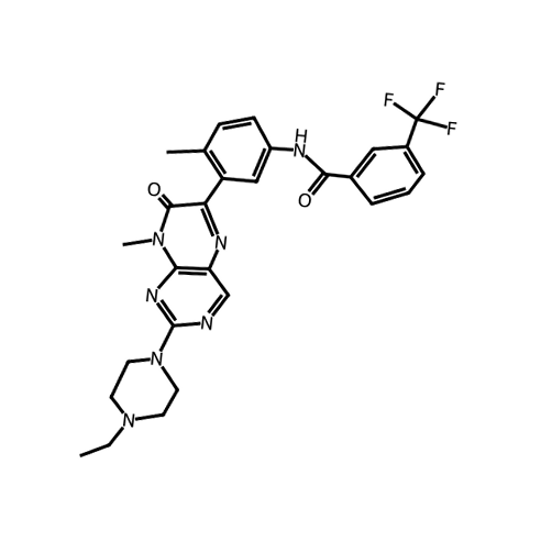 CCN1CCN(c2ncc3nc(-c4cc(NC(=O)c5cccc(C(F)(F)F)c5)ccc4C)c(=O)n(C)c3n2)CC1